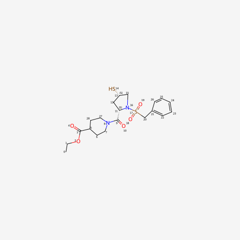 CCOC(=O)C1CCN(C(=O)[C@@H]2C[C@H](S)CN2S(=O)(=O)Cc2ccccc2)CC1